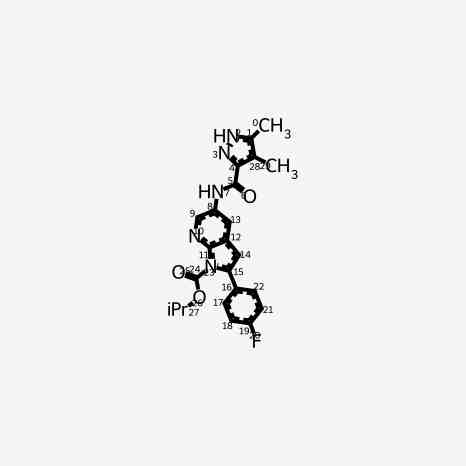 Cc1[nH]nc(C(=O)Nc2cnc3c(c2)cc(-c2ccc(F)cc2)n3C(=O)OC(C)C)c1C